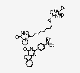 CCN(CC)c1ccc(-c2nc(O[C@@H]3C[C@@H](C(N)=O)N(C(=O)CCCCCC/C=C\[C@@H]4C[C@@H]4C(=O)NS(=O)(=O)C4CC4)C3)c3oc4ccccc4c3n2)cc1